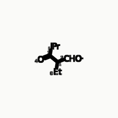 CCC([C]=O)C(=O)C(C)C